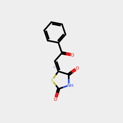 O=C1NC(=O)/C(=C\C(=O)c2ccccc2)S1